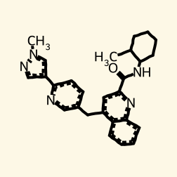 CC1CCCCC1NC(=O)c1cc(Cc2ccc(-c3cnn(C)c3)nc2)c2ccccc2n1